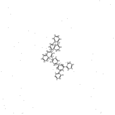 c1ccc(-c2cc(-c3ccccc3)nc(-c3ccc(-c4cc(-c5ccc6c7c(cccc57)-c5ccccc5-6)cc5ccccc45)cc3)n2)cc1